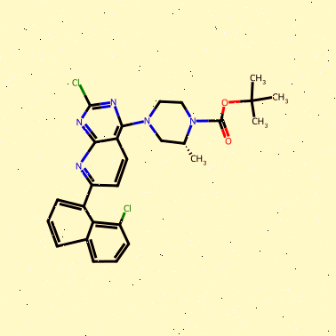 C[C@@H]1CN(c2nc(Cl)nc3nc(-c4cccc5cccc(Cl)c45)ccc23)CCN1C(=O)OC(C)(C)C